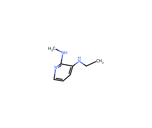 CCNc1cccnc1NC